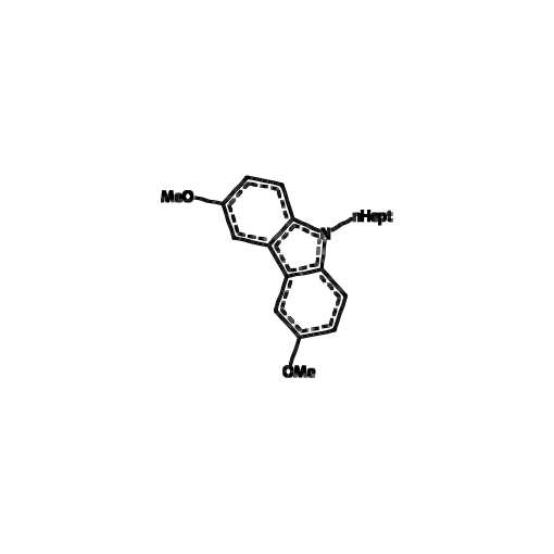 CCCCCCCn1c2ccc(OC)cc2c2cc(OC)ccc21